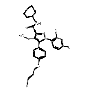 O=C(NC1CCCCC1)c1nn(-c2ccc(Cl)cc2Cl)c(-c2ccc(OCCCF)cc2)c1CO